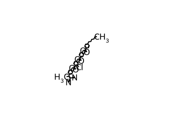 CCCCCCc1ccc(C(=O)Oc2ccc(C(=O)Oc3ccc(C(=O)Oc4ccc(C(C)=C(C#N)C#N)cc4)c(Cl)c3)cc2)cc1